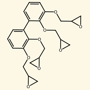 c1cc(OCC2CO2)c(OCC2CO2)c(-c2cccc(OCC3CO3)c2OCC2CO2)c1